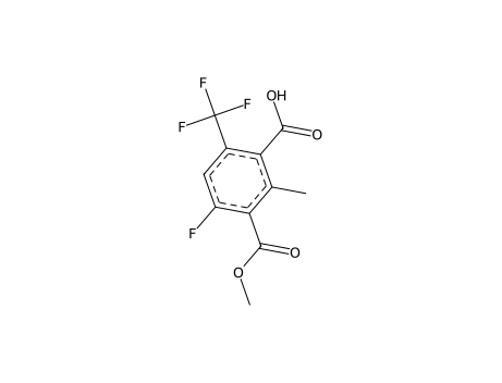 COC(=O)c1c(F)cc(C(F)(F)F)c(C(=O)O)c1C